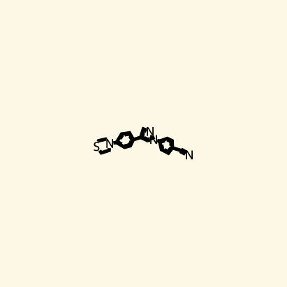 N#Cc1ccc(-n2cc(-c3ccc(N4CCSCC4)cc3)cn2)cc1